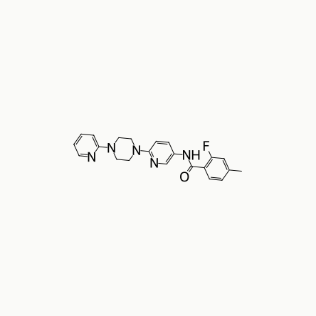 Cc1ccc(C(=O)Nc2ccc(N3CCN(c4ccccn4)CC3)nc2)c(F)c1